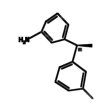 Cc1cccc([C@H](C)c2cccc(N)c2)c1